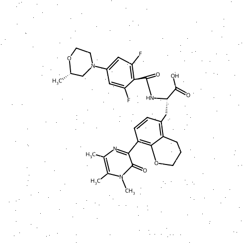 Cc1nc(-c2ccc(C[C@H](NC(=O)c3c(F)cc(N4CCO[C@@H](C)C4)cc3F)C(=O)O)c3c2OCCC3)c(=O)n(C)c1C